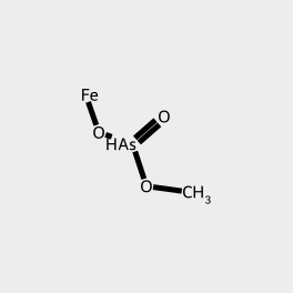 CO[AsH](=O)[O][Fe]